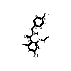 CCSc1nc(Cl)cc(C)c1C(=O)NCc1ccc(F)cc1